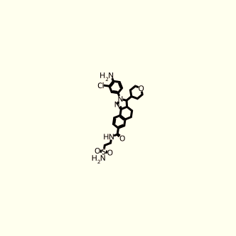 Nc1ccc(N2N=C3c4ccc(C(=O)NCCS(N)(=O)=O)cc4CCC3C2C2CCOCC2)cc1Cl